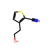 N#Cc1sccc1CCO